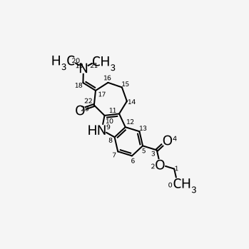 CCOC(=O)c1ccc2[nH]c3c(c2c1)CCC/C(=C\N(C)C)C3=O